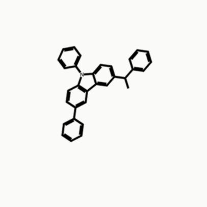 CC(c1ccccc1)c1ccc2c(c1)c1cc(-c3ccccc3)ccc1n2-c1ccccc1